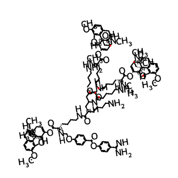 CN[C@H](CCCCNC(=O)[C@@H](CCCCN)CC(C[C@@H](CCCCN)C(=O)NCCCC[C@H](NCOc1ccc(C(=O)Oc2ccc(C(=N)N)cc2)cc1)C(=O)OC1=CC[C@@]2(C)[C@H]3Cc4ccc(OC)c5c4[C@@]2(CCN3C)[C@H]1O5)N[C@H](CCCCN)C(=O)NCCCC[C@@H](NC)C(=O)OC1=CC[C@@]2(O)[C@H]3Cc4ccc(OC)c5c4[C@@]2(CCN3C)[C@H]1O5)C(=O)OC1=CC[C@@]2(C)[C@H]3Cc4ccc(OC)c5c4[C@@]2(CCN3C)[C@H]1O5